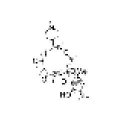 CO[C@]1(C)C[C@@H](C)CN(C)C(C2CCN(C)CC2)COC(=O)C(C)(C)C(=O)[C@H](C)[C@H]1O[C@@H]1O[C@H](C)C[C@H](N(C)C)[C@H]1O